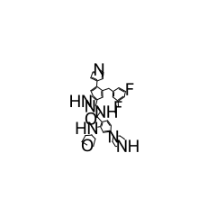 O=C(Nc1n[nH]c2cc(-c3ccncc3)c(Cc3cc(F)cc(F)c3)cc12)c1ccc(N2CCNCC2)cc1NC1CCOCC1